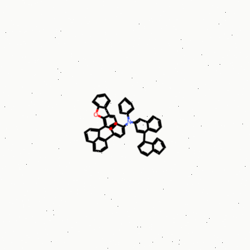 c1ccc(N(c2ccc(-c3cccc4cccc(-c5cccc6c5oc5ccccc56)c34)cc2)c2cc(-c3cccc4ccccc34)c3ccccc3c2)cc1